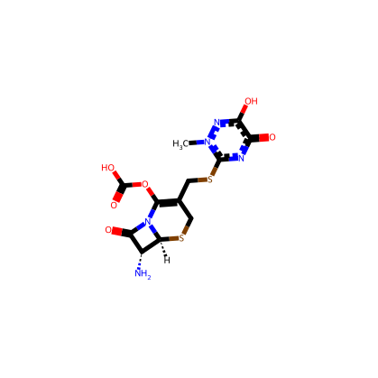 Cn1nc(O)c(=O)nc1SCC1=C(OC(=O)O)N2C(=O)[C@@H](N)[C@@H]2SC1